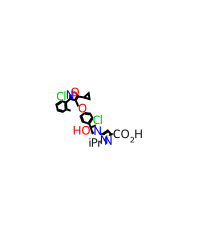 Cc1cccc(Cl)c1-c1noc(C2CC2)c1COc1ccc(C2(O)CN(c3cc(C(=O)O)nn3C(C)C)C2)c(Cl)c1